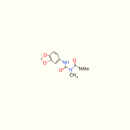 CNC(=O)N(C)C(=O)Nc1ccc2c(c1)OCO2